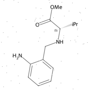 COC(=O)[C@@H](NCc1ccccc1N)C(C)C